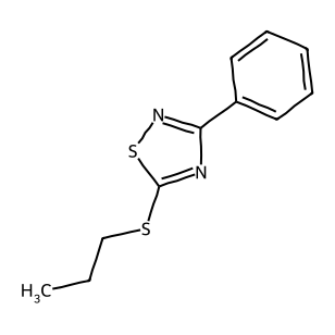 CCCSc1nc(-c2ccccc2)ns1